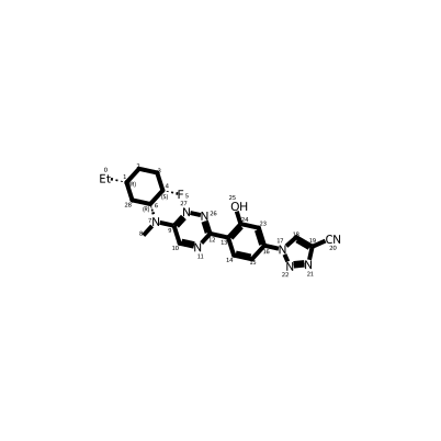 CC[C@@H]1CC[C@H](F)[C@H](N(C)c2cnc(-c3ccc(-n4cc(C#N)nn4)cc3O)nn2)C1